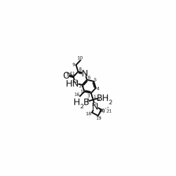 BC(B)(c1ccc2nc(CC)c(=O)[nH]c2c1C)N1CC[C@H]1C